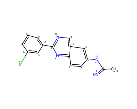 CC(=N)Nc1ccc2nc(-c3cccc(Cl)c3)ncc2c1